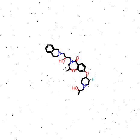 CC(O)CN1CC[C@@H](Oc2ccc3c(c2)OC(C)CN(CC(O)CN2CCc4ccccc4C2)C3=O)[C@H](F)C1